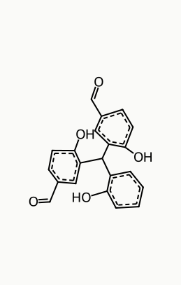 O=Cc1ccc(O)c(C(c2ccccc2O)c2cc(C=O)ccc2O)c1